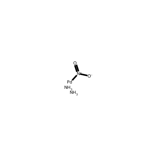 N.N.O=[N+]([O-])[Pd]